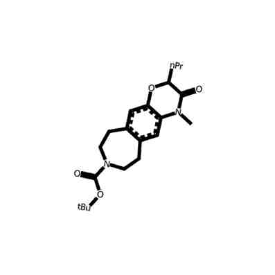 CCCC1Oc2cc3c(cc2N(C)C1=O)CCN(C(=O)OC(C)(C)C)CC3